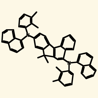 Cc1cccc(N(c2ccc3c(c2)C(C)(C)c2cc(N(c4cccc(C)c4C)c4cccc5ccccc45)c4ccccc4c2-3)c2cccc3ccccc23)c1C